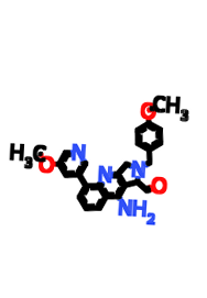 COc1ccc(CN2Cc3nc4c(-c5cncc(OC)c5)cccc4c(N)c3C2C=O)cc1